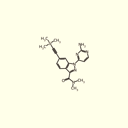 CN(C)C(=O)c1nn(-c2ccnc(N)n2)c2cc(C#C[Si](C)(C)C)ccc12